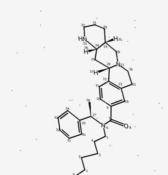 CCCCCCN(C(=O)c1ccc2c(c1)CCN1C[C@H]3CCCN[C@H]3C[C@@H]21)[C@H](C)c1ccccc1